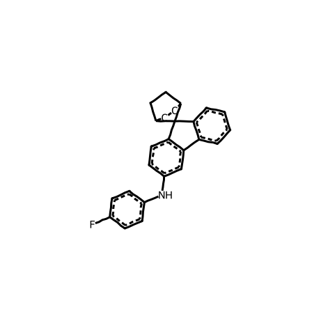 Fc1ccc(Nc2ccc3c(c2)-c2ccccc2C32C3CCC2CC3)cc1